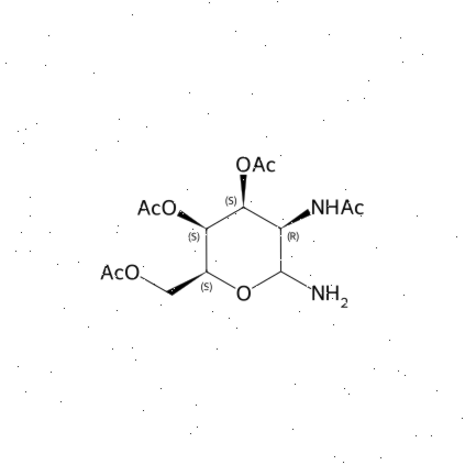 CC(=O)N[C@H]1C(N)O[C@@H](COC(C)=O)[C@@H](OC(C)=O)[C@H]1OC(C)=O